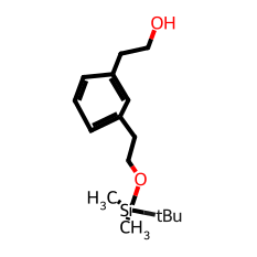 CC(C)(C)[Si](C)(C)OCCc1cccc(CCO)c1